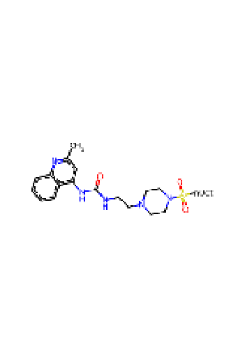 CCCCCCCCS(=O)(=O)N1CCN(CCNC(=O)Nc2cc(C)nc3ccccc23)CC1